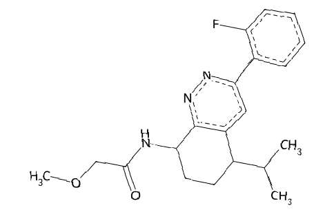 COCC(=O)NC1CCC(C(C)C)c2cc(-c3ccccc3F)nnc21